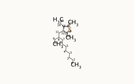 CCCCCCCCC(CC)Cc1c(C)sc(C)c1CC